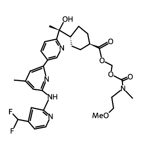 COCCN(C)C(=O)OCOC(=O)[C@H]1CC[C@H]([C@@](C)(O)c2ccc(-c3cc(C)cc(Nc4cc(C(F)F)ccn4)n3)cn2)CC1